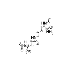 CCNC(CCCCNC(=O)CCC(NC(C)=O)C(C)=O)C(N)=O